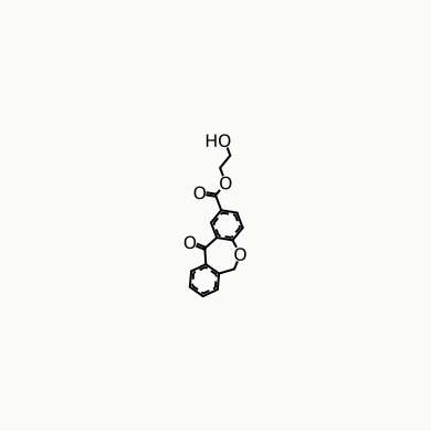 O=C(OCCO)c1ccc2c(c1)C(=O)c1ccccc1CO2